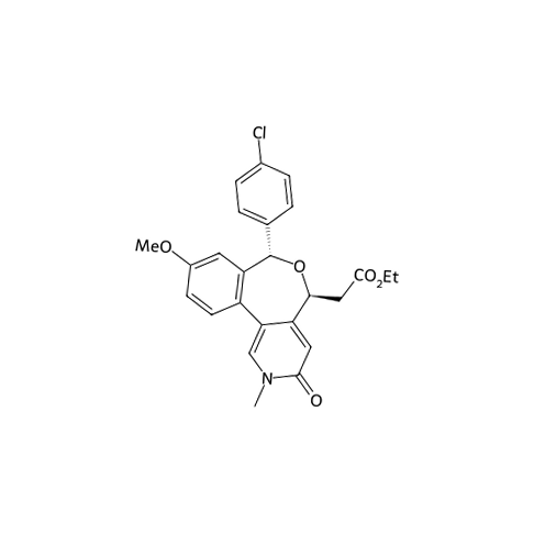 CCOC(=O)C[C@@H]1O[C@@H](c2ccc(Cl)cc2)c2cc(OC)ccc2-c2cn(C)c(=O)cc21